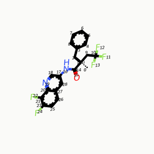 C[C@](Cc1ccccc1)(CC(F)(F)F)C(=O)Nc1cnc2c(F)c(F)ccc2c1